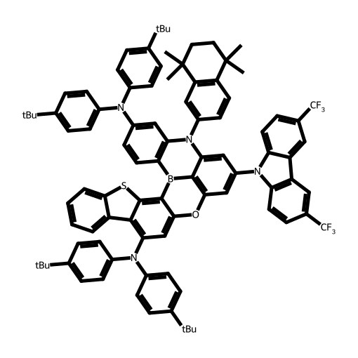 CC(C)(C)c1ccc(N(c2ccc(C(C)(C)C)cc2)c2ccc3c(c2)N(c2ccc4c(c2)C(C)(C)CCC4(C)C)c2cc(-n4c5ccc(C(F)(F)F)cc5c5cc(C(F)(F)F)ccc54)cc4c2B3c2c(cc(N(c3ccc(C(C)(C)C)cc3)c3ccc(C(C)(C)C)cc3)c3c2sc2ccccc23)O4)cc1